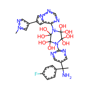 Cn1cc(-c2cc3c(N4C(O)(O)C(O)(O)N(c5ncc(C(C)(N)c6ccc(F)cc6)cn5)C(O)(O)C4(O)O)ncnn3c2)cn1